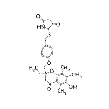 CCC1(COc2ccc(CSC3NC(=O)CC3=O)cc2)CC(=O)c2c(C)c(O)c(C)c(C)c2O1